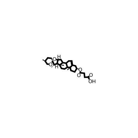 C[C@H]1CC[C@@]2(OC1)O[C@H]1CC3C4CC=C5C[C@@H](OC(=O)CCC(=O)O)CC[C@]5(C)C4CC[C@]3(C)[C@H]1[C@@H]2C